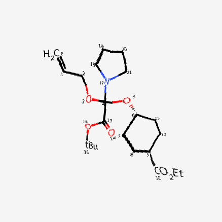 C=CCOC(O[C@H]1CC[C@H](C(=O)OCC)CC1)(C(=O)OC(C)(C)C)N1CCCC1